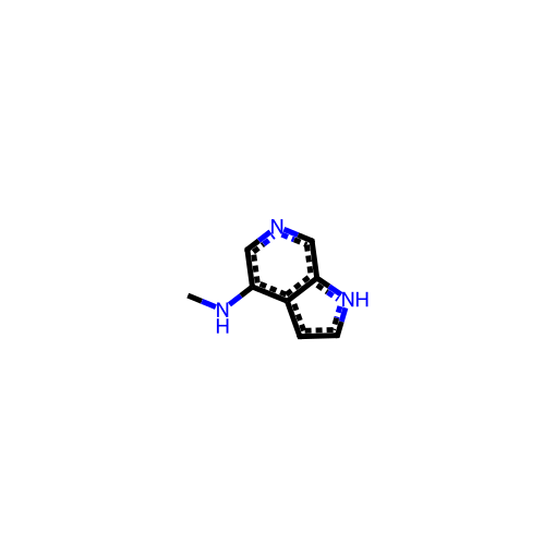 CNc1cncc2[nH]ccc12